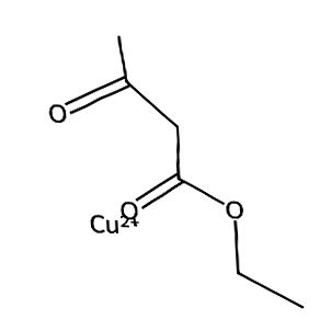 CCOC(=O)CC(C)=O.[Cu+2]